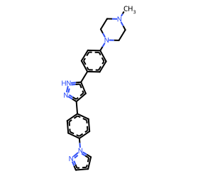 CN1CCN(c2ccc(-c3cc(-c4ccc(-n5cccn5)cc4)n[nH]3)cc2)CC1